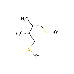 CC(C)SCC(C)C(C)CSC(C)C